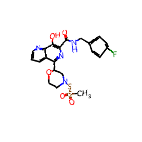 CS(=O)(=O)SN1CCOC(c2nc(C(=O)NCc3ccc(F)cc3)c(O)c3ncccc23)C1